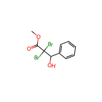 COC(=O)C(Br)(Br)C(O)c1ccccc1